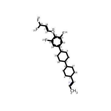 C/C=C/C1CCC(C2CCC(c3cc(F)c(O/C=C/C(F)F)c(F)c3)CC2)CC1